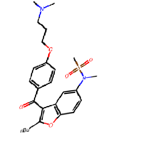 CCCCc1oc2ccc(N(C)S(C)(=O)=O)cc2c1C(=O)c1ccc(OCCCN(C)C)cc1